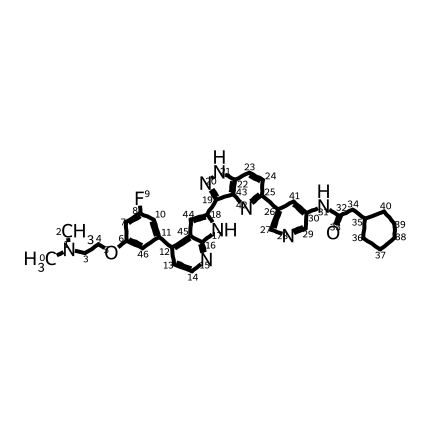 CN(C)CCOc1cc(F)cc(-c2ccnc3[nH]c(-c4n[nH]c5ccc(-c6cncc(NC(=O)CC7CCCCC7)c6)nc45)cc23)c1